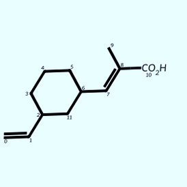 C=CC1CCCC(/C=C(\C)C(=O)O)C1